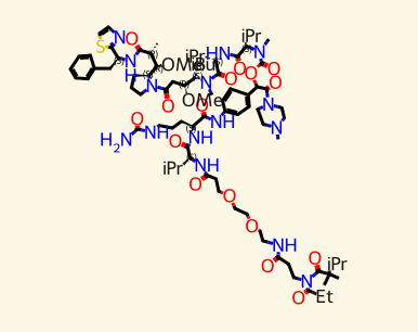 CCC(=O)N(CCC(=O)NCCOCCOCCC(=O)N[C@H](C(=O)N[C@@H](CCCNC(N)=O)C(=O)Nc1ccc(C(OC(=O)N(C)[C@H](C(=O)N[C@H](C(=O)N(C)[C@@H]([C@@H](C)CC)[C@@H](CC(=O)N2CCC[C@H]2[C@H](OC)[C@@H](C)C(=O)N[C@@H](Cc2ccccc2)c2nccs2)OC)C(C)C)C(C)C)C(=O)N2CCN(C)CC2)cc1)C(C)C)C(=O)C(C)(C)C(C)C